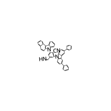 N#Cc1c(-n2c3ccc(-c4ccccc4)cc3c3cc(-c4ccccc4)ccc32)cc(C=N)cc1-n1c2ccccc2c2c3ccccc3ccc21